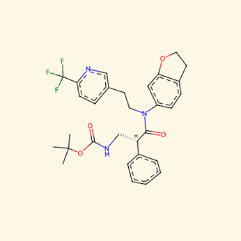 CC(C)(C)OC(=O)NC[C@H](C(=O)N(CCc1ccc(C(F)(F)F)nc1)c1ccc2c(c1)OCC2)c1ccccc1